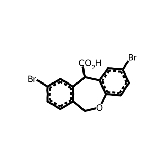 O=C(O)C1c2cc(Br)ccc2COc2ccc(Br)cc21